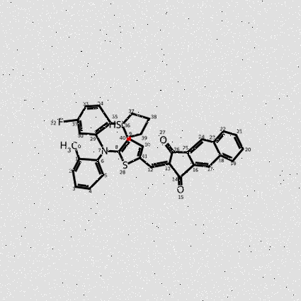 Cc1ccccc1N(c1ccc(C=C2C(=O)c3cc4ccccc4cc3C2=O)s1)c1cc(F)ccc1[SiH]1CCCC1